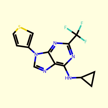 FC(F)(F)c1nc(NC2CC2)c2ncn(-c3ccsc3)c2n1